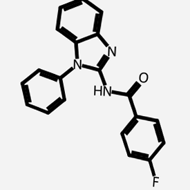 O=C(Nc1nc2ccccc2n1-c1ccccc1)c1ccc(F)cc1